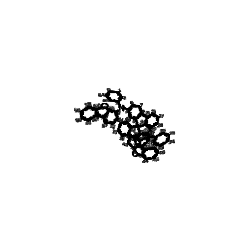 c1ccc(N(c2ccc3c(c2)C2(c4ccccc4-c4ccccc42)c2c-3cccc2N(c2ccccc2)c2cccc3oc4ccccc4c23)c2cccc3c2oc2ccccc23)cc1